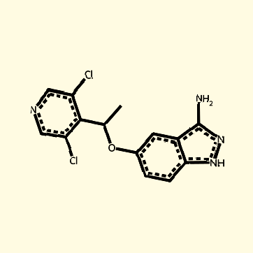 CC(Oc1ccc2[nH]nc(N)c2c1)c1c(Cl)cncc1Cl